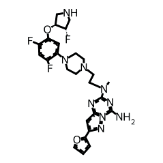 CN(CCN1CCN(c2cc(O[C@H]3CNC[C@@H]3F)c(F)cc2F)CC1)c1nc(N)n2nc(-c3ccco3)cc2n1